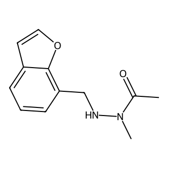 CC(=O)N(C)NCc1cccc2ccoc12